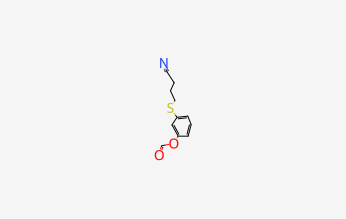 N#CCCCSc1cccc(OC=O)c1